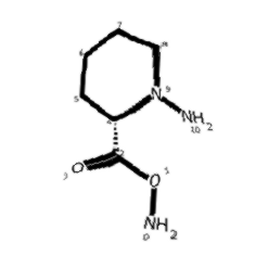 NOC(=O)[C@@H]1CCCCN1N